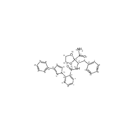 NC(=O)C1(C(Cc2ccccc2)NC(=O)c2cccnc2-n2ccc(-c3ccccc3)n2)OCCO1